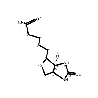 NC(=O)CCCCC1SCC2NC(=O)N[C@@H]21